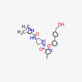 Cc1cc(C(=O)NC2CCC(NC(=O)c3cc(F)cnc3Oc3cccc(-c4ccc(CCO)cc4)c3)CC2)nn1C